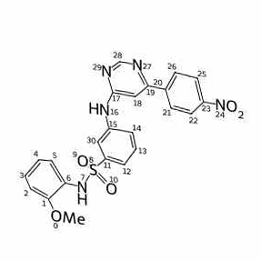 COc1ccccc1NS(=O)(=O)c1cccc(Nc2cc(-c3ccc([N+](=O)[O-])cc3)ncn2)c1